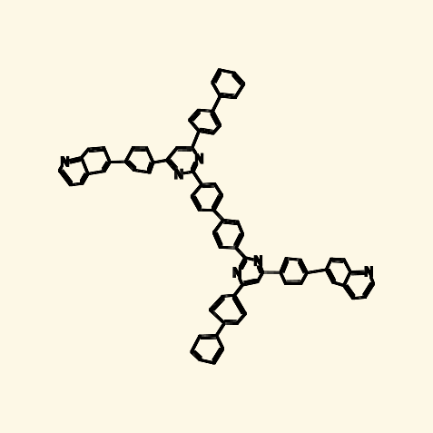 c1ccc(-c2ccc(-c3cc(-c4ccc(-c5ccc6ncccc6c5)cc4)nc(-c4ccc(-c5ccc(-c6nc(-c7ccc(-c8ccccc8)cc7)cc(-c7ccc(-c8ccc9ncccc9c8)cc7)n6)cc5)cc4)n3)cc2)cc1